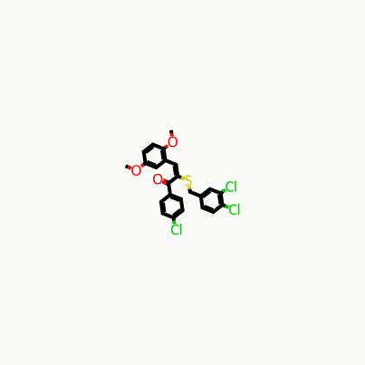 COc1ccc(OC)c(/C=C(/SCc2ccc(Cl)c(Cl)c2)C(=O)c2ccc(Cl)cc2)c1